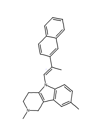 C/C(=C\n1c2c(c3cc(C)ccc31)CN(C)CC2)c1ccc2ccccc2c1